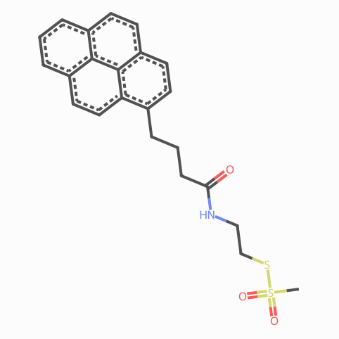 CS(=O)(=O)SCCNC(=O)CCCc1ccc2ccc3cccc4ccc1c2c34